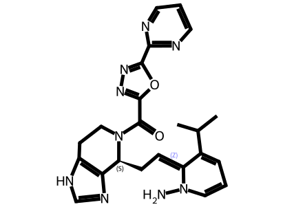 CC(C)C1=CC=CN(N)/C1=C\C[C@H]1c2nc[nH]c2CCN1C(=O)c1nnc(-c2ncccn2)o1